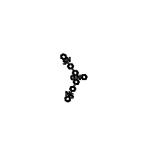 c1ccc(N2c3ccc(-c4ccc(-c5nc6ccccc6s5)cc4)cc3Oc3cc(-c4ccc(-c5nc6ccccc6s5)cc4)ccc32)cc1